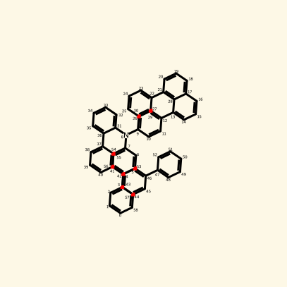 c1ccc(-c2ccc(N(c3ccc(-c4cccc5cccc(-c6ccccc6)c45)cc3)c3ccccc3-c3cccc(-c4cccc(-c5ccccc5)c4)c3)cc2)cc1